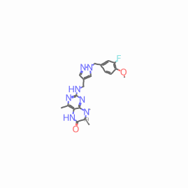 COc1ccc(Cn2cc(CNc3nc(C)c4c(n3)N(C)[C@@H](C)C(=O)N4)cn2)cc1F